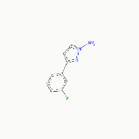 Nn1ccc(-c2cccc(F)c2)n1